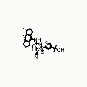 C[C@@H]1CCc2c1nc1c(c2NC(=O)N=[S@](=O)(NC#N)c2cc(C(C)(C)O)cs2)CCC1